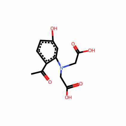 CC(=O)c1ccc(O)cc1N(CC(=O)O)CC(=O)O